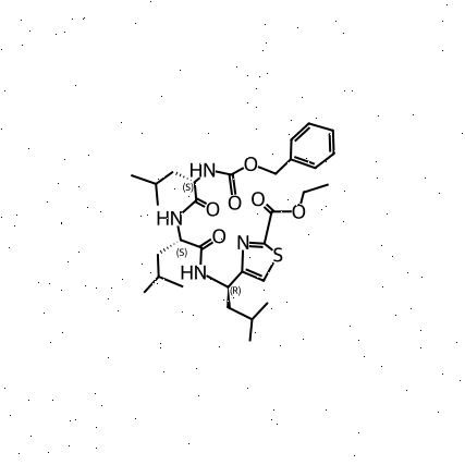 CCOC(=O)c1nc([C@@H](CC(C)C)NC(=O)[C@H](CC(C)C)NC(=O)[C@H](CC(C)C)NC(=O)OCc2ccccc2)cs1